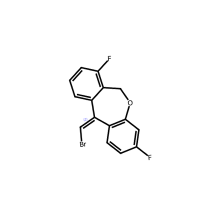 Fc1ccc2c(c1)OCc1c(F)cccc1/C2=C/Br